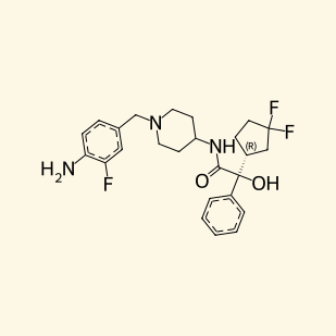 Nc1ccc(CN2CCC(NC(=O)C(O)(c3ccccc3)[C@@H]3CCC(F)(F)C3)CC2)cc1F